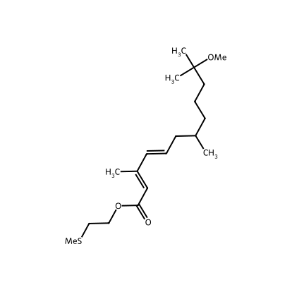 COC(C)(C)CCCC(C)CC=CC(C)=CC(=O)OCCSC